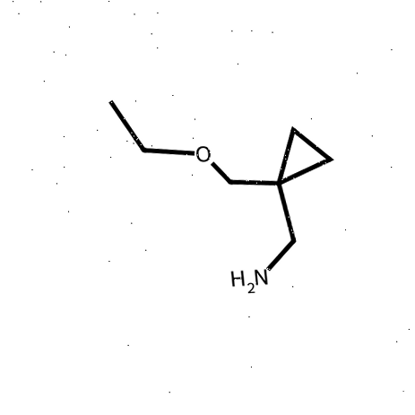 CCOCC1(CN)CC1